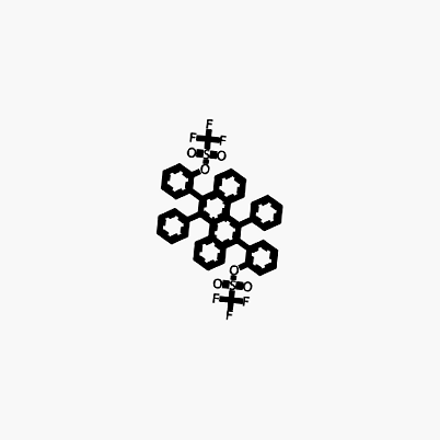 O=S(=O)(Oc1ccccc1-c1c(-c2ccccc2)c2c3ccccc3c(-c3ccccc3OS(=O)(=O)C(F)(F)F)c(-c3ccccc3)c2c2ccccc12)C(F)(F)F